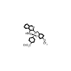 CCCCc1c(N(Cc2ccc(OC(F)(F)F)cc2)S(=O)(=O)c2ccc(C(=O)OCC)cc2)ncc2ccccc12